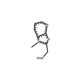 CNCc1nc2ncccc2n1C